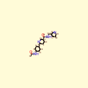 CC(=O)Nc1ccc(-c2ccc(C(=O)NCc3cccnc3)cn2)cc1